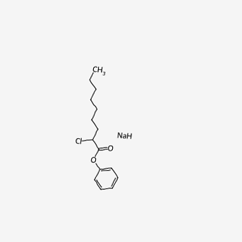 CCCCCCCC(Cl)C(=O)Oc1ccccc1.[NaH]